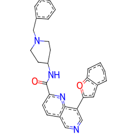 O=C(NC1CCN(Cc2ccccc2)CC1)c1ccc2cncc(-c3cc4ccccc4o3)c2n1